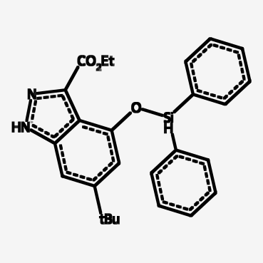 CCOC(=O)c1n[nH]c2cc(C(C)(C)C)cc(O[SiH](c3ccccc3)c3ccccc3)c12